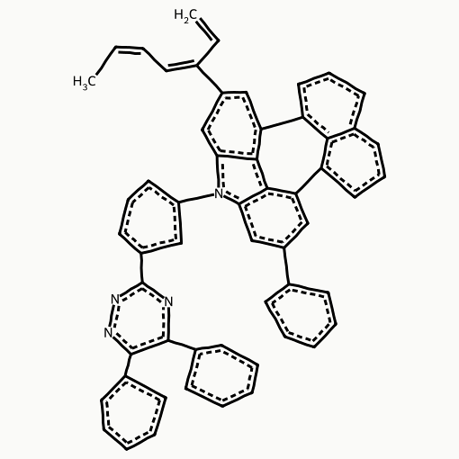 C=C/C(=C\C=C/C)c1cc2c3c4c(cc(-c5ccccc5)cc4n(-c4cccc(-c5nnc(-c6ccccc6)c(-c6ccccc6)n5)c4)c3c1)-c1cccc3cccc-2c13